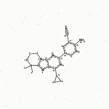 CC1(C)OCCn2c1nc1c(C3CC3)nc(-c3cnc(N)c(C#N)c3)nc12